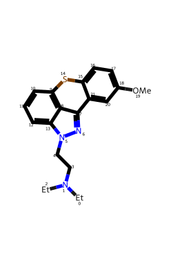 CCN(CC)CCn1nc2c3c(cccc31)Sc1ccc(OC)cc1-2